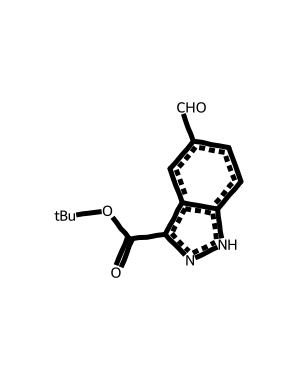 CC(C)(C)OC(=O)c1n[nH]c2ccc(C=O)cc12